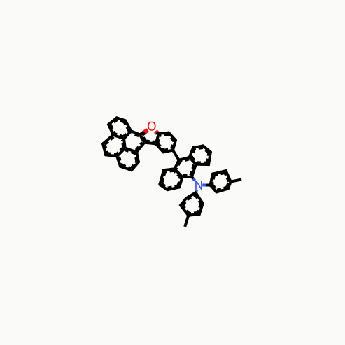 Cc1ccc(N(c2ccc(C)cc2)c2c3ccccc3c(-c3ccc4oc5c6cccc7ccc8cccc(c5c4c3)c8c76)c3ccccc23)cc1